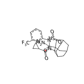 NC(=O)C12CC3CC(C1)C(N(C(=O)C1CC1)N(c1cccc(C(F)(F)F)n1)[SH](=O)=O)C(C3)C2